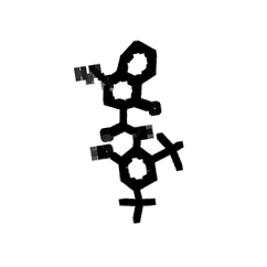 CC(C)(C)c1cc(O)c(NC(=O)c2cn(N)c3ccccc3c2=O)c(C(C)(C)C)c1